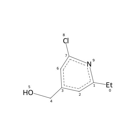 CCc1cc(CO)cc(Cl)n1